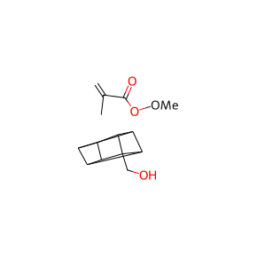 C=C(C)C(=O)OOC.OCC12C3C4C5C3C1C5C42